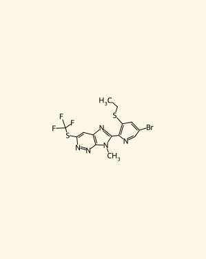 CCSc1cc(Br)cnc1-c1nc2cc(SC(F)(F)F)nnc2n1C